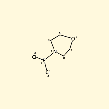 ClP(Cl)N1CCOCC1